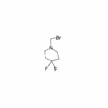 FC1(F)CCN(CBr)CC1